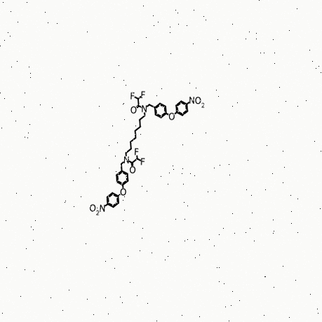 O=C(C(F)F)N(CCCCCCCCN(Cc1ccc(Oc2ccc([N+](=O)[O-])cc2)cc1)C(=O)C(F)F)Cc1ccc(Oc2ccc([N+](=O)[O-])cc2)cc1